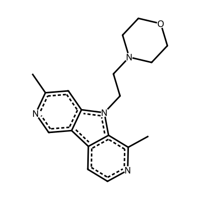 Cc1cc2c(cn1)c1ccnc(C)c1n2CCN1CCOCC1